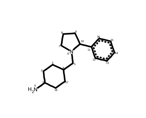 NC1CCC(CN2CCCC2c2ccccc2)CC1